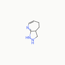 C1=CN=C2NNCC2CC1